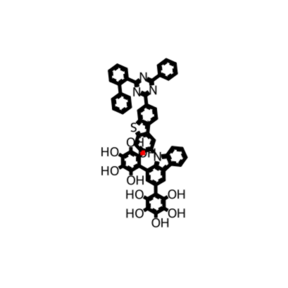 Oc1c(O)c(O)c(-c2cc(-c3c(O)c(O)c(O)c(O)c3O)c3c(c2)c2ccccc2n3-c2ccc3sc4cc(-c5nc(-c6ccccc6)nc(-c6ccccc6-c6ccccc6)n5)ccc4c3c2)c(O)c1O